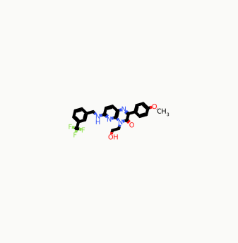 COc1ccc(-c2nc3ccc(NCc4cccc(C(F)(F)F)c4)nc3n(CCO)c2=O)cc1